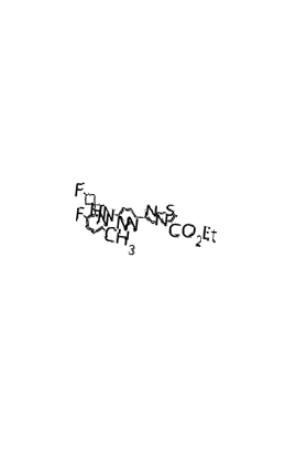 CCOC(=O)c1csc2nc(-c3ccc(NC[C@]4(c5nc(C)ccc5F)C[C@H](F)C4)nn3)cn12